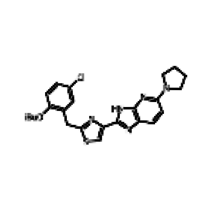 CC(C)COc1ccc(Cl)cc1Cc1nc(-c2nc3ccc(N4CCCC4)nc3[nH]2)cs1